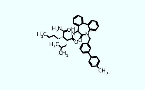 CCCC[C@H](C(N)=O)[C@@H](CC(C)C)C(=O)NC1C(=O)N(Cc2cccc(-c3ccc(C)cc3)c2)c2ccccc2-c2ccccc21